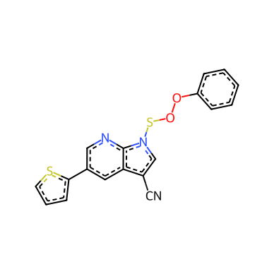 N#Cc1cn(SOOc2ccccc2)c2ncc(-c3cccs3)cc12